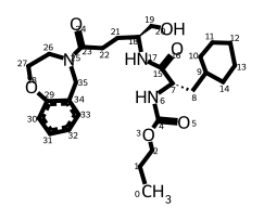 CCCOC(=O)N[C@@H](CC1CCCCC1)C(=O)N[C@H](CO)CCC(=O)N1CCOc2ccccc2C1